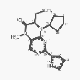 CCC1C(=O)N(C)c2cnc(-c3ccc[nH]3)nc2N1C1CCCC1